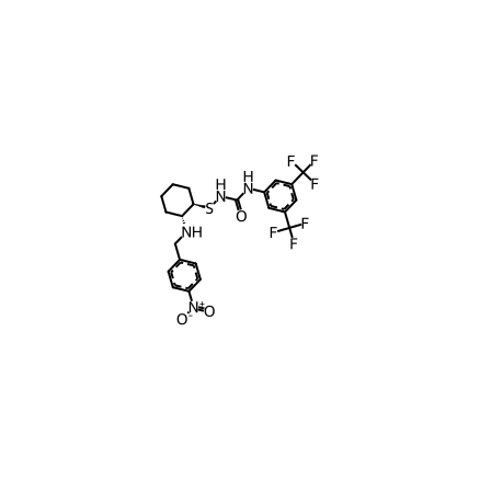 O=C(NS[C@@H]1CCCC[C@H]1NCc1ccc([N+](=O)[O-])cc1)Nc1cc(C(F)(F)F)cc(C(F)(F)F)c1